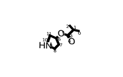 CC(C)C(=O)OC1CCNCC1